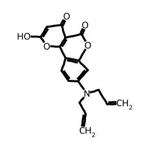 C=CCN(CC=C)c1ccc2c(c1)oc(=O)c1c(=O)cc(O)oc12